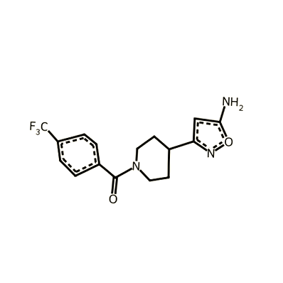 Nc1cc(C2CCN(C(=O)c3ccc(C(F)(F)F)cc3)CC2)no1